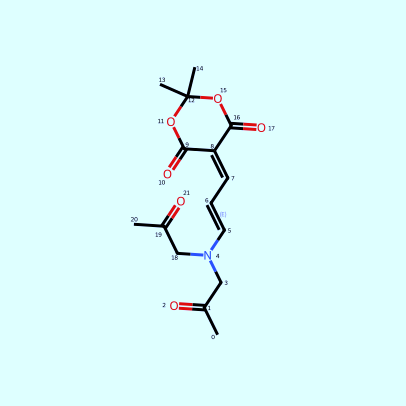 CC(=O)CN(/C=C/C=C1C(=O)OC(C)(C)OC1=O)CC(C)=O